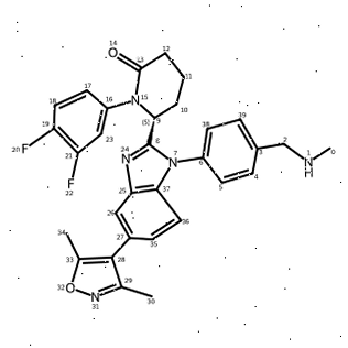 CNCc1ccc(-n2c([C@@H]3CCCC(=O)N3c3ccc(F)c(F)c3)nc3cc(-c4c(C)noc4C)ccc32)cc1